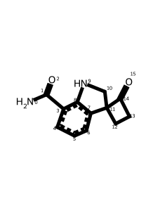 NC(=O)c1cccc2c1NCC21CCC1=O